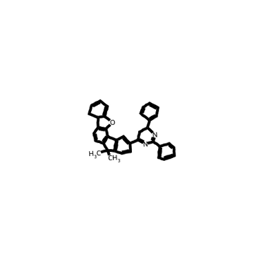 CC1(C)c2ccc(C3=NC(c4ccccc4)=NC(c4ccccc4)C3)cc2-c2c1ccc1c2OC2=CC=CCC21